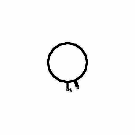 CC1CCCCCCCCCCCCCCC1=O